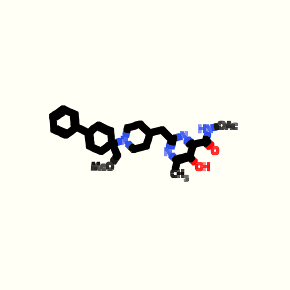 COCC1(N2CCC(Cc3nc(C)c(O)c(C(=O)NOC(C)=O)n3)CC2)C=CC(c2ccccc2)=CC1